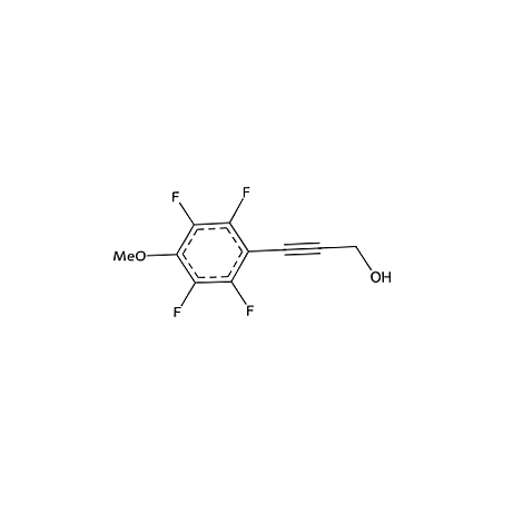 COc1c(F)c(F)c(C#CCO)c(F)c1F